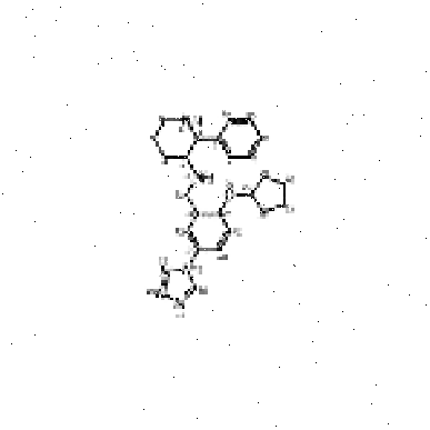 c1ccc(C2NCCCC2NCc2cc(-n3cnnn3)ccc2OC2CCCC2)cc1